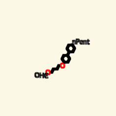 CCCCCC1CCC(C2CCC(OCCCCOC=O)CC2)CC1